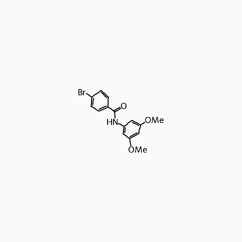 COc1cc(NC(=O)c2ccc(Br)cc2)cc(OC)c1